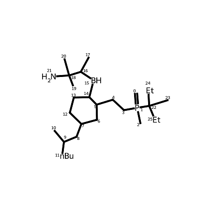 C=P(C)(CCC1CC(CC(C)CCCC)CCC1BC(C)C(C)(C)N)C(C)(CC)CC